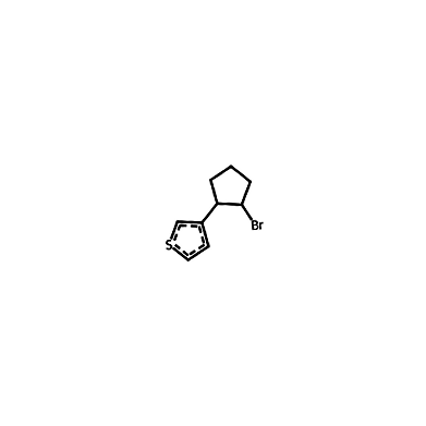 BrC1CCCC1c1ccsc1